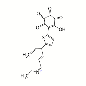 C=CC(C=C/C=N\CC)c1ccc(-c2c(O)c(=O)c(=O)c(=O)c2=O)s1